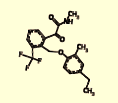 CCc1ccc(OCc2c(C(=O)C(=O)NC)cccc2C(F)(F)F)c(C)c1